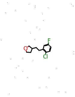 Fc1ccc(Cl)c(CCC2CCOC2)c1